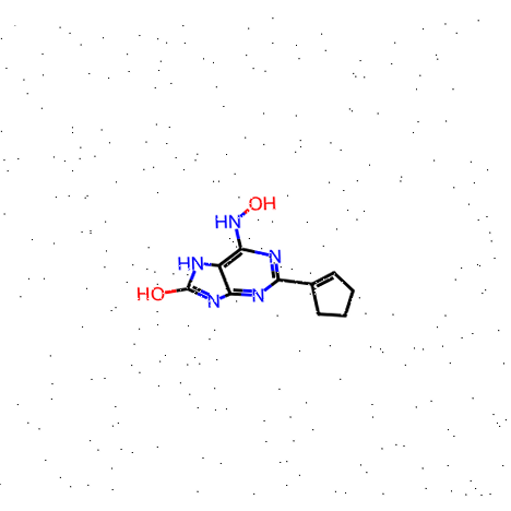 ONc1nc(C2=CCCC2)nc2nc(O)[nH]c12